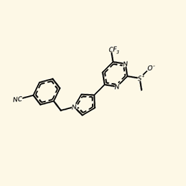 C[S+]([O-])c1nc(-c2ccn(Cc3cccc(C#N)c3)c2)cc(C(F)(F)F)n1